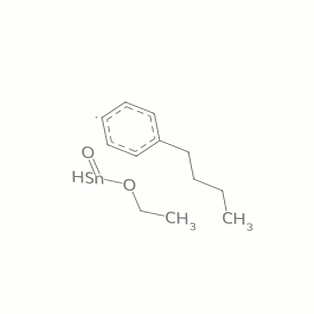 CCCCc1cc[c]cc1.CC[O][SnH]=[O]